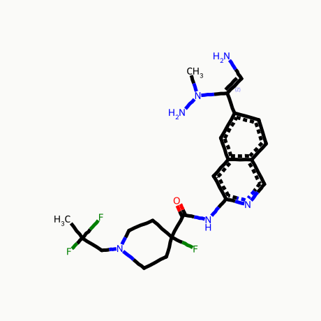 CN(N)/C(=C\N)c1ccc2cnc(NC(=O)C3(F)CCN(CC(C)(F)F)CC3)cc2c1